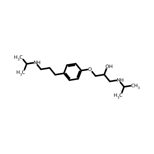 CC(C)NCCCc1ccc(OCC(O)CNC(C)C)cc1